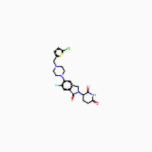 O=C1CCC(N2Cc3cc(N4CCN(Cc5ccc(Cl)s5)CC4)c(F)cc3C2=O)C(=O)N1